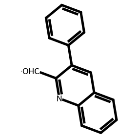 O=[C]c1nc2ccccc2cc1-c1ccccc1